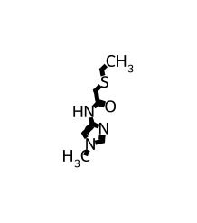 CCSCC(=O)Nc1cn(C)cn1